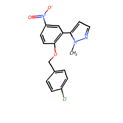 Cn1nccc1-c1cc([N+](=O)[O-])ccc1OCc1ccc(Cl)cc1